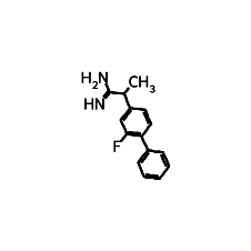 CC(C(=N)N)c1ccc(-c2ccccc2)c(F)c1